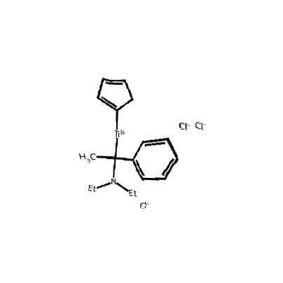 CCN(CC)[C](C)([Ti+3][C]1=CC=CC1)c1ccccc1.[Cl-].[Cl-].[Cl-]